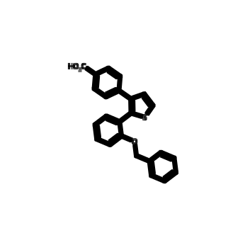 O=C(O)c1ccc(-c2ccsc2-c2ccccc2OCc2ccccc2)cc1